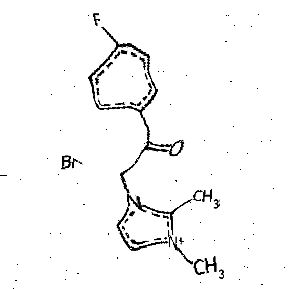 Cc1n(CC(=O)c2ccc(F)cc2)cc[n+]1C.[Br-]